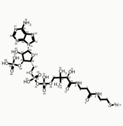 [2H]SCCNC(=O)CCNC(=O)[C@H](O)C(C)(C)COP(=O)(O)OP(=O)(O)OC[C@H]1O[C@@H](n2cnc3c(N)ncnc32)[C@H](O)[C@@H]1OP(=O)(O)O